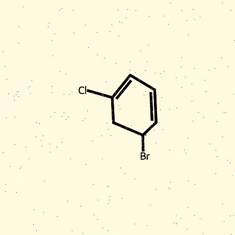 ClC1=CC=C[C](Br)C1